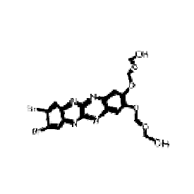 OCOCOc1cc2nc3nc4cc(Br)c(Br)cc4nc3nc2cc1OCOCO